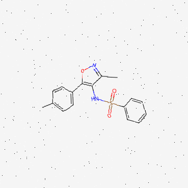 Cc1ccc(-c2onc(C)c2NS(=O)(=O)c2ccccc2)cc1